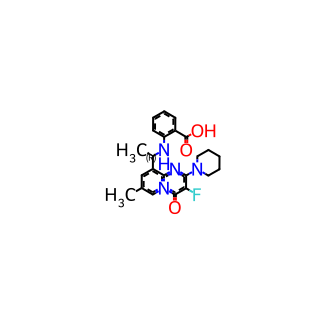 Cc1cc([C@@H](C)Nc2ccccc2C(=O)O)c2nc(N3CCCCC3)c(F)c(=O)n2c1